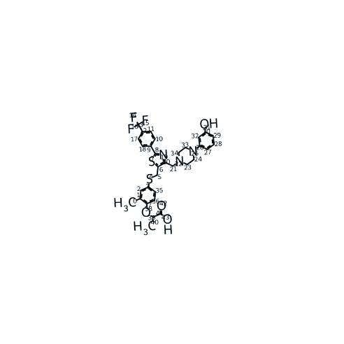 Cc1cc(SCc2sc(-c3ccc(C(F)(F)F)cc3)nc2CN2CCN(c3cccc(O)c3)CC2)ccc1OC(C)C(=O)O